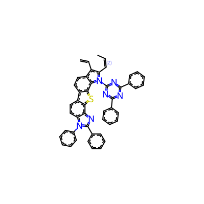 C=Cc1c(/C=C\C)n(-c2nc(-c3ccccc3)nc(-c3ccccc3)n2)c2c1ccc1c3ccc4c(nc(-c5ccccc5)n4-c4ccccc4)c3sc12